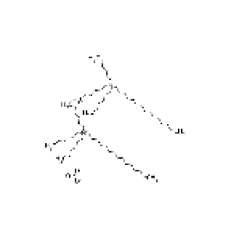 CCCCCCCCCCCCCCC[N+](CCCCCC)(CCCCCC)CCCCCC.CCCCCCCCCCCCCCC[N+](CCCCCC)(CCCCCC)CCCCCC.O=C([O-])[O-]